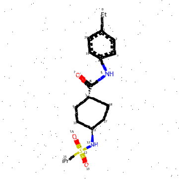 CCc1ccc(NC(=O)[C@H]2CC[C@H](NS(=O)(=O)C(C)C)CC2)cc1